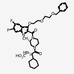 Cn1c(C(=O)N2CCN(C(=O)[C@@H](NC(=O)O)C3CCCCC3)CC2)c(OCCOCCOCc2ccccc2)c2cc(F)c(F)cc21